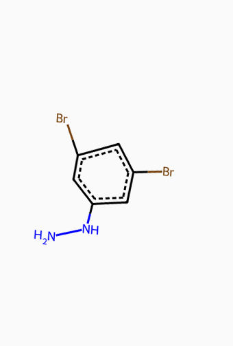 NNc1cc(Br)cc(Br)c1